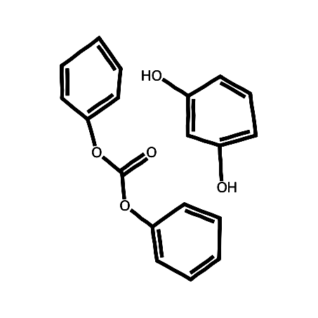 O=C(Oc1ccccc1)Oc1ccccc1.Oc1cccc(O)c1